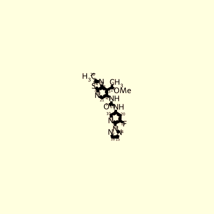 COC(C)c1c(NC(=O)Nc2cnc(-n3nccn3)c(F)c2)cnc2sc(C)nc12